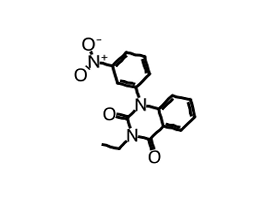 CCn1c(=O)c2ccccc2n(-c2cccc([N+](=O)[O-])c2)c1=O